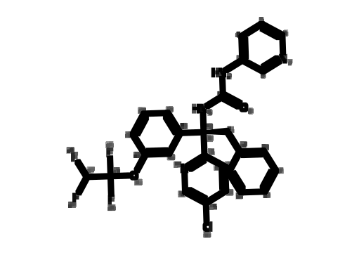 O=C(Nc1cccnc1)N[C@@](Cc1ccccc1)(c1cccc(OC(F)(F)C(F)F)c1)c1ccc(Cl)cn1